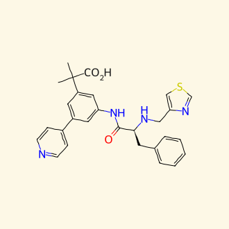 CC(C)(C(=O)O)c1cc(NC(=O)[C@H](Cc2ccccc2)NCc2cscn2)cc(-c2ccncc2)c1